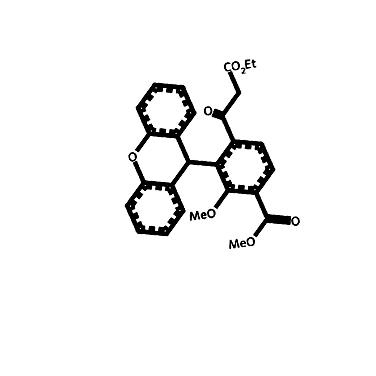 CCOC(=O)CC(=O)c1ccc(C(=O)OC)c(OC)c1C1c2ccccc2Oc2ccccc21